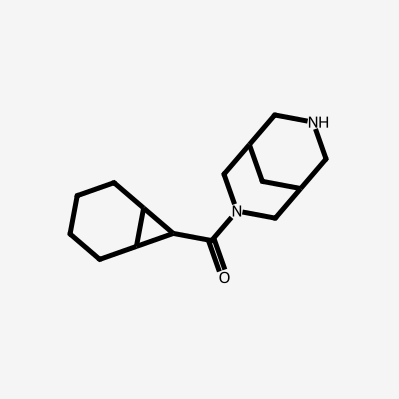 O=C(C1C2CCCCC21)N1CC2CNCC(C2)C1